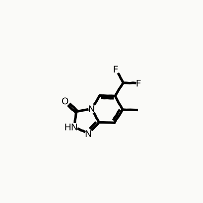 Cc1cc2n[nH]c(=O)n2cc1C(F)F